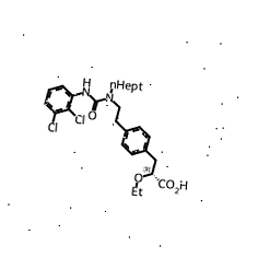 CCCCCCCN(CCc1ccc(C[C@@H](OCC)C(=O)O)cc1)C(=O)Nc1cccc(Cl)c1Cl